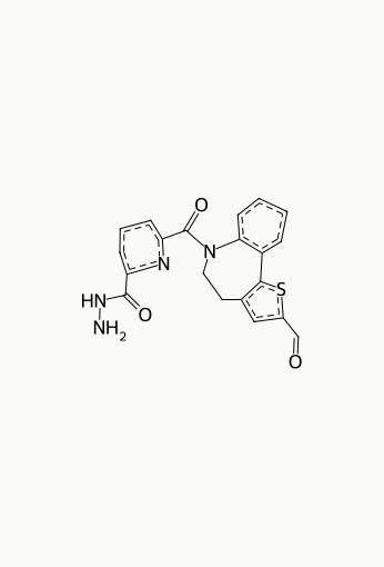 NNC(=O)c1cccc(C(=O)N2CCc3cc(C=O)sc3-c3ccccc32)n1